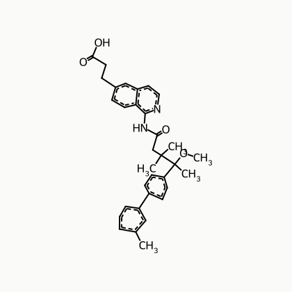 COC(C)(c1ccc(-c2cccc(C)c2)cc1)C(C)(C)CC(=O)Nc1nccc2cc(CCC(=O)O)ccc12